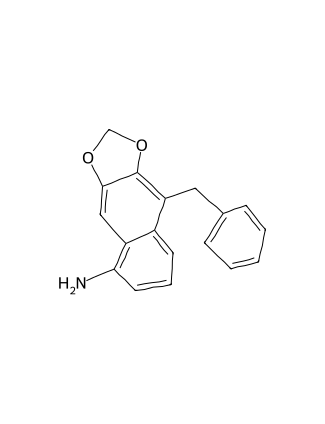 Nc1cccc2c(Cc3ccccc3)c3c(cc12)OCO3